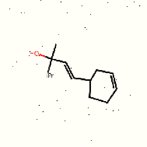 CC(C)C(C)(O)/C=C/C1CC=CCC1